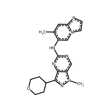 Cc1cc2nccn2cc1Nc1ncc2c(n1)c(C1CCOCC1)nn2C